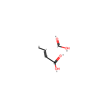 C/C=C/C(=O)O.O=CO